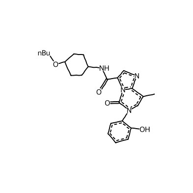 CCCCOC1CCC(NC(=O)c2cnc3c(C)cn(-c4ccccc4O)c(=O)n23)CC1